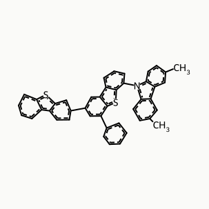 Cc1ccc2c(c1)c1cc(C)ccc1n2-c1cccc2c1sc1c(-c3ccccc3)cc(-c3ccc4c(c3)sc3ccccc34)cc12